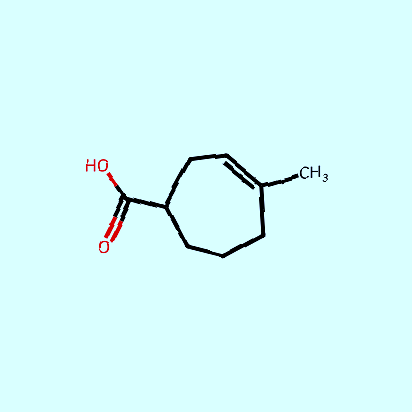 CC1=CCC(C(=O)O)CCC1